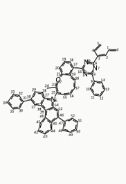 C=C/C=C(\C=C)c1nc(-c2ccccc2)nc(-c2cccc3oc(C)c(-n4c5ccc(-c6ccccc6)cc5c5c6ccccc6c(-c6ccccc6)cc54)ccccc23)n1